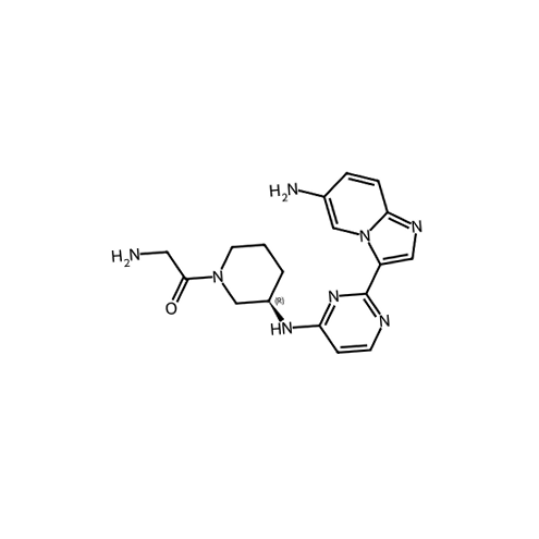 NCC(=O)N1CCC[C@@H](Nc2ccnc(-c3cnc4ccc(N)cn34)n2)C1